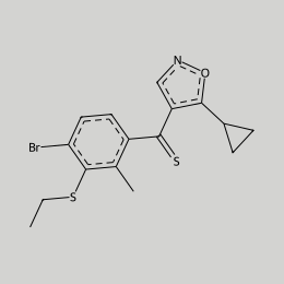 CCSc1c(Br)ccc(C(=S)c2cnoc2C2CC2)c1C